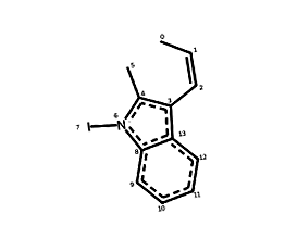 C/C=C\c1c(C)n(I)c2ccccc12